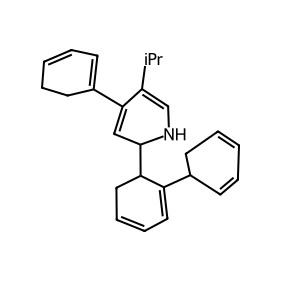 CC(C)C1=CNC(C2CC=CC=C2C2C=CC=CC2)C=C1C1=CC=CCC1